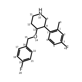 Cc1cc(F)ccc1C1CNCCC1OCc1ccc(F)cc1